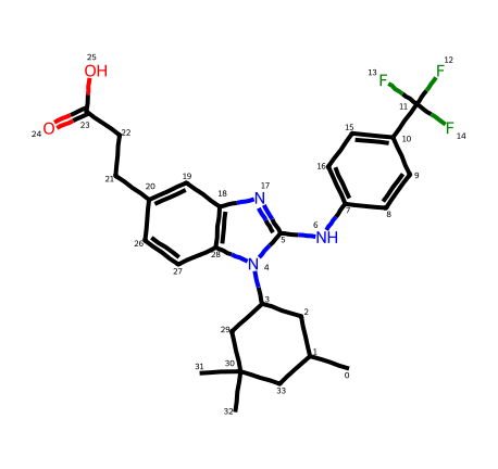 CC1CC(n2c(Nc3ccc(C(F)(F)F)cc3)nc3cc(CCC(=O)O)ccc32)CC(C)(C)C1